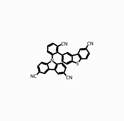 N#Cc1ccc2sc3ccc(-c4c(C#N)cccc4-n4c5ccc(C#N)cc5c5cc(C#N)ccc54)cc3c2c1